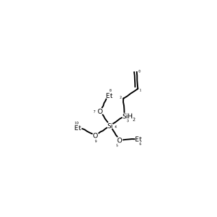 C=CC[SiH2][Si](OCC)(OCC)OCC